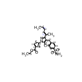 C/C=C\C=C(/C)c1nn(-c2nc(C(=O)OCC)cs2)c(C)c1Cc1ccc(S(N)(=O)=O)cc1